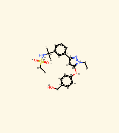 CCn1nc(-c2cccc(C(C)(C)NS(=O)(=O)CC)c2)cc1Oc1ccc(CO)cc1